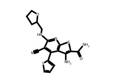 N#Cc1c(NCC2CCCO2)nc2sc(C(N)=O)c(N)c2c1-c1cccs1